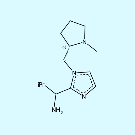 CC(C)C(N)c1nccn1C[C@@H]1CCCN1C